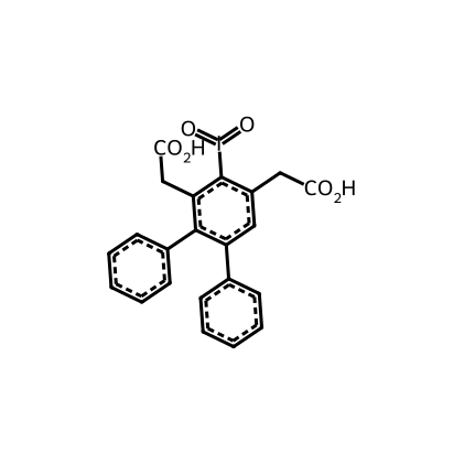 O=C(O)Cc1cc(-c2ccccc2)c(-c2ccccc2)c(CC(=O)O)c1I(=O)=O